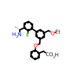 CCOCc1cc(COc2ccccc2CC(=O)O)cc(-c2cccc([C@@H](C)N)c2F)c1